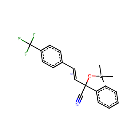 C[Si](C)(C)OC(C#N)(/C=C/c1ccc(C(F)(F)F)cc1)c1ccccc1